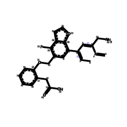 C=N/C(=C\C(=C/C)c1cc(COc2ccccc2CC(=O)O)c(F)c2ccoc12)CN